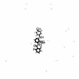 CN1CCC(Nc2cccc(NC(=O)c3c(F)cccc3F)c2)CC1.Cl.Cl